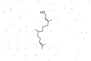 CC(C)=CCCC(C)CCCC(C)=CCO